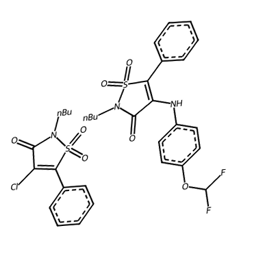 CCCCN1C(=O)C(Cl)=C(c2ccccc2)S1(=O)=O.CCCCN1C(=O)C(Nc2ccc(OC(F)F)cc2)=C(c2ccccc2)S1(=O)=O